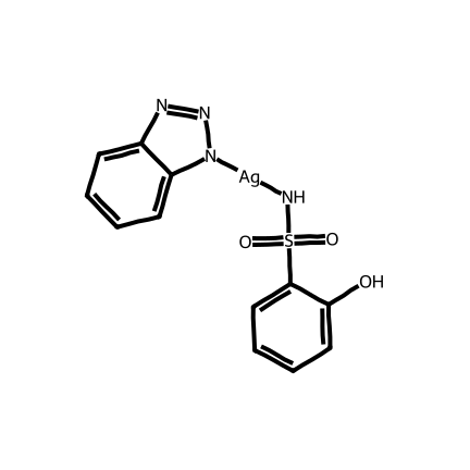 O=S(=O)([NH][Ag][n]1nnc2ccccc21)c1ccccc1O